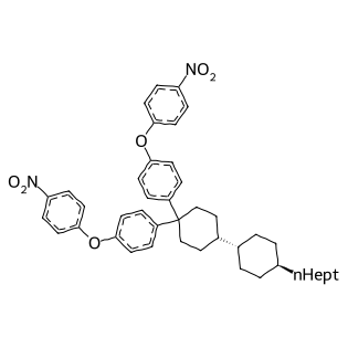 CCCCCCC[C@H]1CC[C@H](C2CCC(c3ccc(Oc4ccc([N+](=O)[O-])cc4)cc3)(c3ccc(Oc4ccc([N+](=O)[O-])cc4)cc3)CC2)CC1